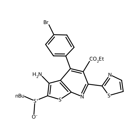 CCCC[S+]([O-])c1sc2nc(-c3nccs3)c(C(=O)OCC)c(-c3ccc(Br)cc3)c2c1N